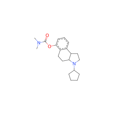 CN(C)C(=O)Oc1cccc2c1CCC1C2CCN1C1CCCC1